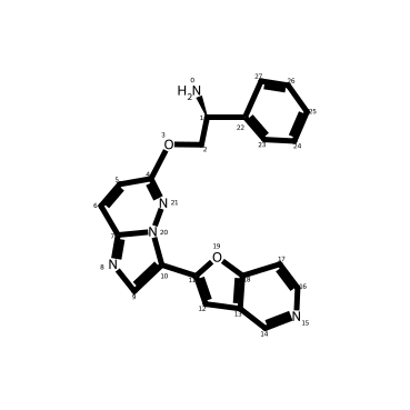 N[C@H](COc1ccc2ncc(-c3cc4cnccc4o3)n2n1)c1ccccc1